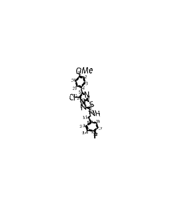 COc1ccc(-c2nc3sc(NCc4ccc(F)cc4)nn3c2Cl)cc1